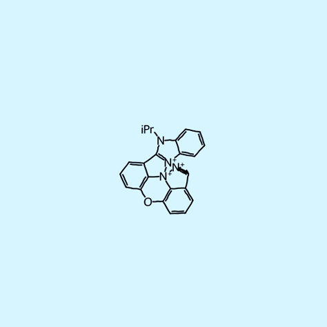 CC(C)n1c2[n+](c3ccccc31)[N+]13c4c(cccc4-c4cccc[n+]41)Oc1cccc-2c13